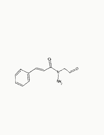 NN(C[C]=O)C(=O)C=Cc1ccccc1